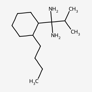 CCCCC1CCCCC1C(N)(N)C(C)C